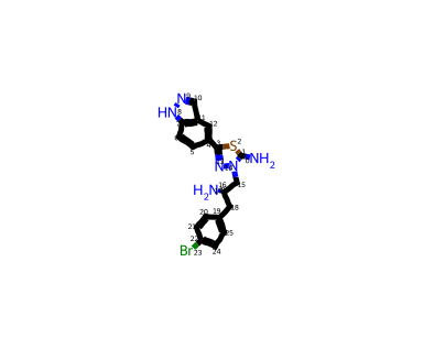 NC1SC(c2ccc3[nH]ncc3c2)=NN1C[C@H](N)Cc1ccc(Br)cc1